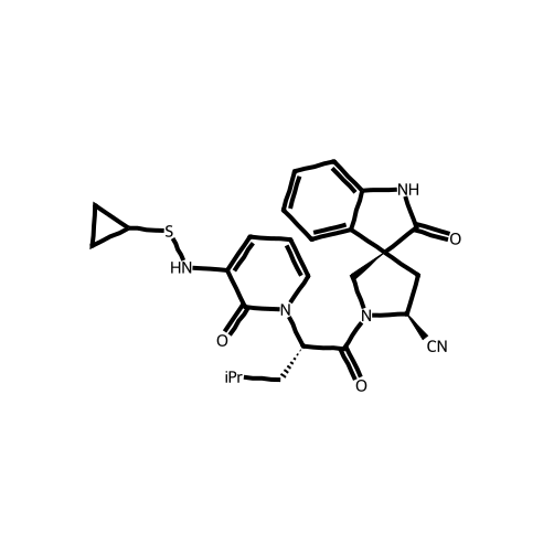 CC(C)C[C@@H](C(=O)N1C[C@]2(C[C@H]1C#N)C(=O)Nc1ccccc12)n1cccc(NSC2CC2)c1=O